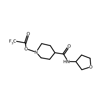 O=C(NC1CCOC1)C1CCN(OC(=O)C(F)(F)F)CC1